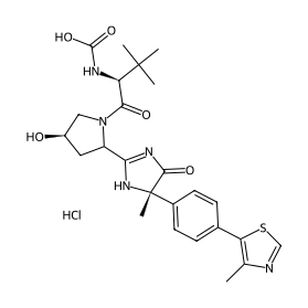 Cc1ncsc1-c1ccc([C@]2(C)NC(C3C[C@@H](O)CN3C(=O)[C@@H](NC(=O)O)C(C)(C)C)=NC2=O)cc1.Cl